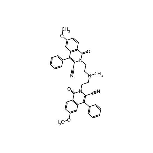 COc1ccc2c(=O)n(CCN(C)CCn3c(C#N)c(-c4ccccc4)c4cc(OC)ccc4c3=O)c(C#N)c(-c3ccccc3)c2c1